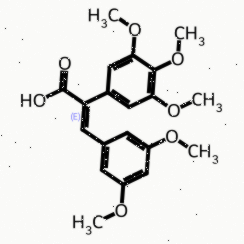 COc1cc(/C=C(/C(=O)O)c2cc(OC)c(OC)c(OC)c2)cc(OC)c1